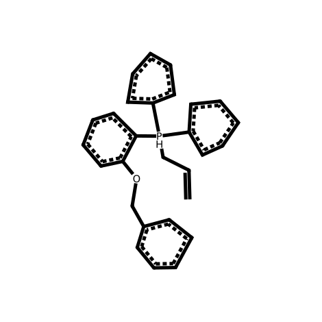 C=CC[PH](c1ccccc1)(c1ccccc1)c1ccccc1OCc1ccccc1